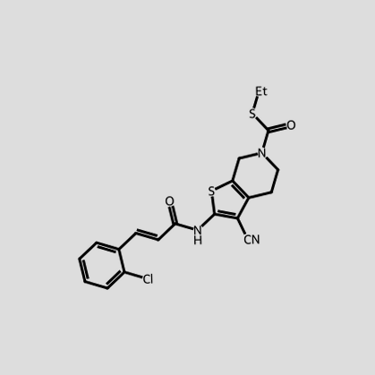 CCSC(=O)N1CCc2c(sc(NC(=O)C=Cc3ccccc3Cl)c2C#N)C1